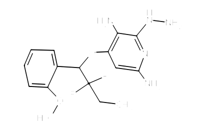 CCC(F)(F)C(Oc1cc(N)nc(NN)c1N)c1ccccc1OC